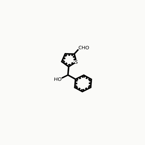 O=Cc1ccc(C(O)c2ccccc2)s1